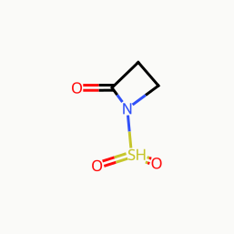 O=C1CCN1[SH](=O)=O